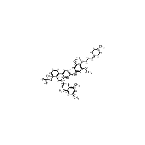 COc1cc(Nc2nccc(N(Cc3ccccc3OC(F)(F)F)C(=O)Oc3c(C)cc(C)cc3C)n2)cc(OC)c1OCCCN1CCN(C)CC1